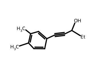 CCC(O)C#Cc1ccc(C)c(C)c1